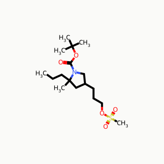 CCCC1(C)CC(CCCOS(C)(=O)=O)CN1C(=O)OC(C)(C)C